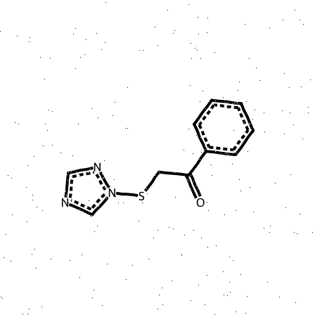 O=C(CSn1cncn1)c1ccccc1